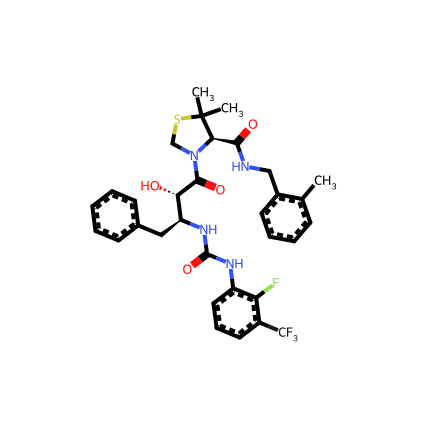 Cc1ccccc1CNC(=O)[C@H]1N(C(=O)[C@@H](O)[C@H](Cc2ccccc2)NC(=O)Nc2cccc(C(F)(F)F)c2F)CSC1(C)C